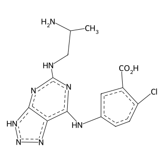 CC(N)CNc1nc(Nc2ccc(Cl)c(C(=O)O)c2)c2nn[nH]c2n1